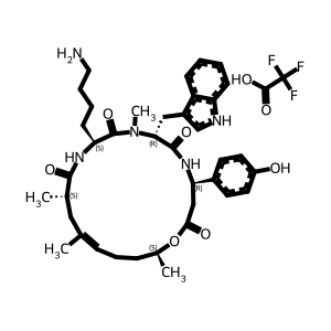 CC1=CCC[C@H](C)OC(=O)C[C@H](c2ccc(O)cc2)NC(=O)[C@@H](Cc2c[nH]c3ccccc23)N(C)C(=O)[C@H](CCCCN)NC(=O)[C@@H](C)C1.O=C(O)C(F)(F)F